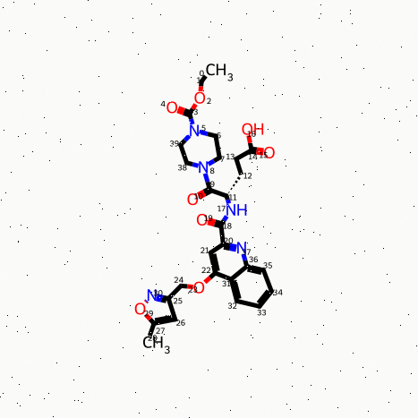 CCOC(=O)N1CCN(C(=O)[C@H](CCC(=O)O)NC(=O)c2cc(OCc3cc(C)on3)c3ccccc3n2)CC1